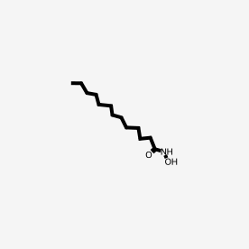 CCCCCCCCCCCCC(=O)NO